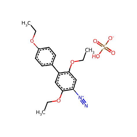 CCOc1ccc(-c2cc(OCC)c([N+]#N)cc2OCC)cc1.O=S(=O)([O-])O